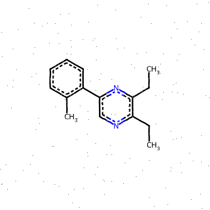 CCc1ncc(-c2ccccc2C)nc1CC